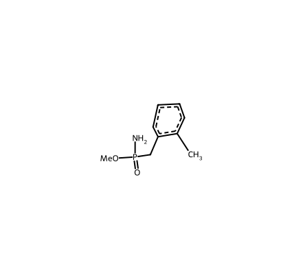 COP(N)(=O)Cc1ccccc1C